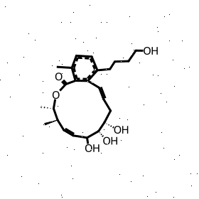 Cc1ccc(CCCCO)c2c1C(=O)O[C@@H](C)[C@H](C)/C=C\C(O)[C@@H](O)[C@@H](O)C/C=C/2